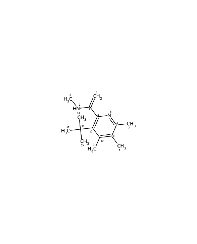 C=C(NC)c1nc(C)c(C)c(C)c1C(C)(C)C